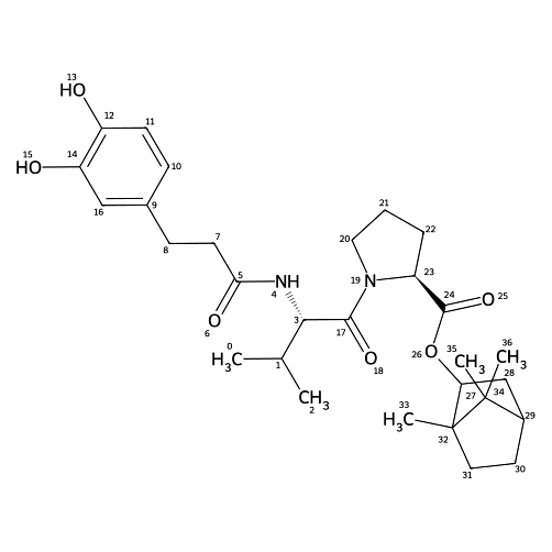 CC(C)[C@H](NC(=O)CCc1ccc(O)c(O)c1)C(=O)N1CCC[C@H]1C(=O)OC1CC2CCC1(C)C2(C)C